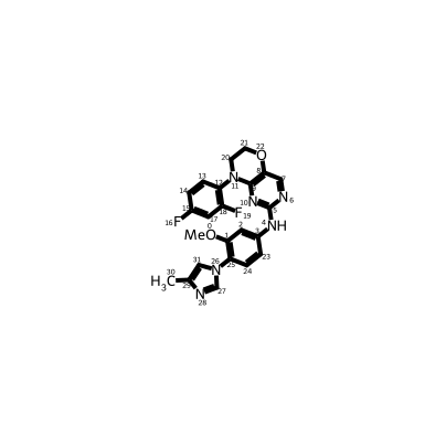 COc1cc(Nc2ncc3c(n2)N(c2ccc(F)cc2F)CCO3)ccc1-n1cnc(C)c1